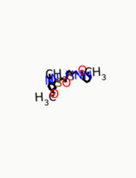 COc1ccc2nc(C)nc(SCC(=O)c3ccc(CNC(=O)C4CCCCN4C)s3)c2c1